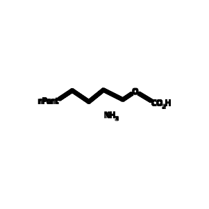 CCCCCCCCCOC(=O)O.N